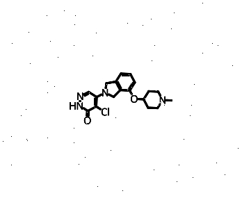 CN1CCC(Oc2cccc3c2CN(c2cn[nH]c(=O)c2Cl)C3)CC1